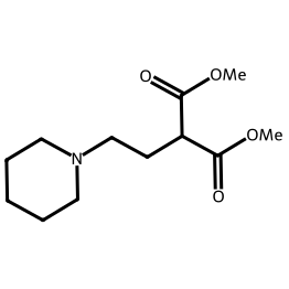 COC(=O)C(CCN1CCCCC1)C(=O)OC